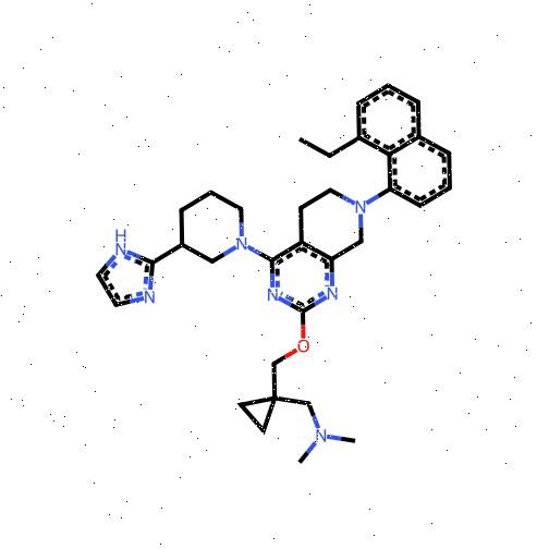 CCc1cccc2cccc(N3CCc4c(nc(OCC5(CN(C)C)CC5)nc4N4CCCC(c5ncc[nH]5)C4)C3)c12